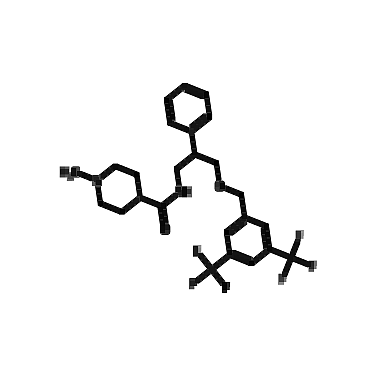 CN1CCC(C(=O)NCC(COCc2cc(C(F)(F)F)cc(C(F)(F)F)c2)c2ccccc2)CC1